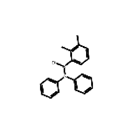 CCN(c1cccc(C)c1C)N(c1ccccc1)c1ccccc1